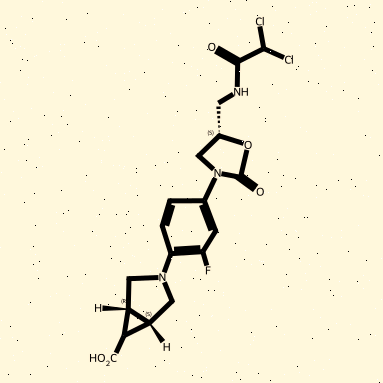 O=C(NC[C@H]1CN(c2ccc(N3C[C@@H]4C(C(=O)O)[C@@H]4C3)c(F)c2)C(=O)O1)C(Cl)Cl